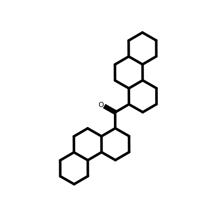 O=C(C1CCCC2C3CCCCC3CCC12)C1CCCC2C3CCCCC3CCC12